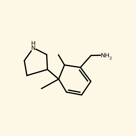 CC1C(CN)=CC=CC1(C)C1CCNC1